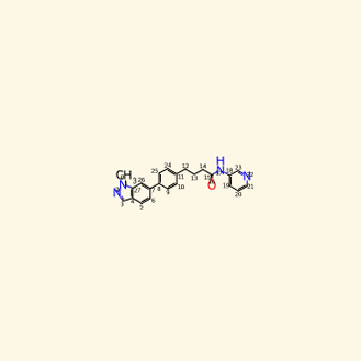 Cn1ncc2ccc(-c3ccc(CCCC(=O)Nc4cccnc4)cc3)cc21